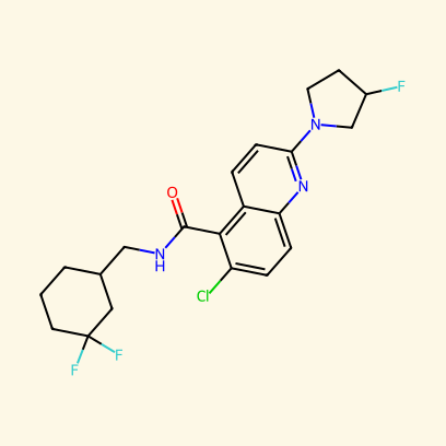 O=C(NCC1CCCC(F)(F)C1)c1c(Cl)ccc2nc(N3CCC(F)C3)ccc12